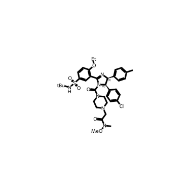 CCOc1ccc(S(=O)(=O)NC(C)(C)C)cc1C1=N[C@@H](c2ccc(C)cc2)[C@@H](c2ccc(Cl)cc2)N1C(=O)N1CCN(CC(=O)N(C)OC)CC1